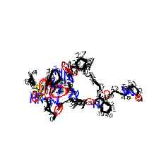 C=CC1C[C@]1(NC(=O)[C@@H]1C[C@@H]2CN1C(=O)[C@H](C1CCCC1)NC(=O)O[C@@H]1CCC[C@H]1CC/C=C/Cc1c(nc3ccccc3c1OCCCN1CCCC1=O)O2)C(=O)NS(=O)(=O)C1CC1